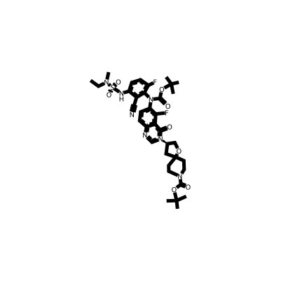 CCN(C)S(=O)(=O)Nc1ccc(F)c(N(C(=O)OC(C)(C)C)c2ccc3ncn([C@H]4COC5(CCN(C(=O)OC(C)(C)C)CC5)C4)c(=O)c3c2F)c1C#N